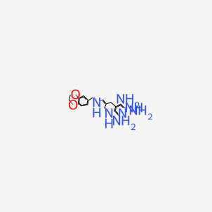 N=C/C(=C\NCc1ccc2c(c1)OCCO2)Cc1cc(N)nc(NN)c1N